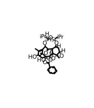 CC(=O)O[C@@]12CO[C@@H]1C[C@@H]1O[SiH](C(C)C)O[SiH](C(C)C)OC3C(=O)[C@@]1(C)[C@@H]2[C@H](OC(=O)c1ccccc1)[C@]1(O)CC(O)C(C)=C3C1(C)C